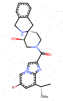 CO[C@@H](C)c1cc(Br)cn2cc(C(=O)N3CC[C@]4(Cc5ccccc5CN4)[C@H](O)C3)nc12